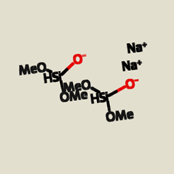 CO[SiH]([O-])OC.CO[SiH]([O-])OC.[Na+].[Na+]